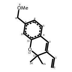 C=CC1=Cc2ccc(COC)cc2OC1(C)C